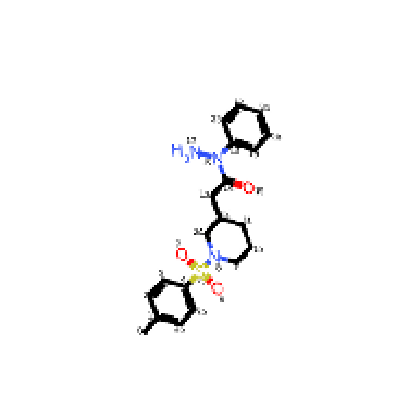 Cc1ccc(S(=O)(=O)N2CCCC(CC(=O)N(N)c3ccccc3)C2)cc1